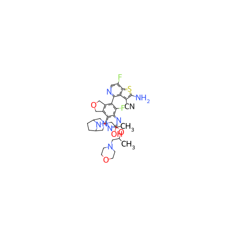 CC(O)CN1CC2CCC(C1)N2c1nc(OC(C)CN2CCOCC2)nc2c(F)c(-c3ncc(F)c4sc(N)c(C#N)c34)c3c(c12)COC3